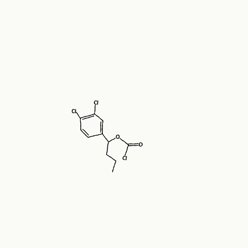 CCCC(OC(=O)Cl)c1ccc(Cl)c(Cl)c1